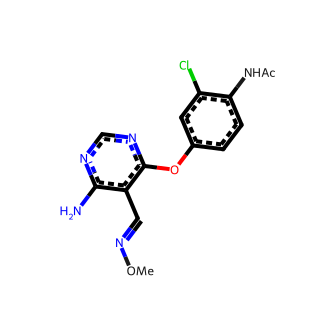 CON=Cc1c(N)ncnc1Oc1ccc(NC(C)=O)c(Cl)c1